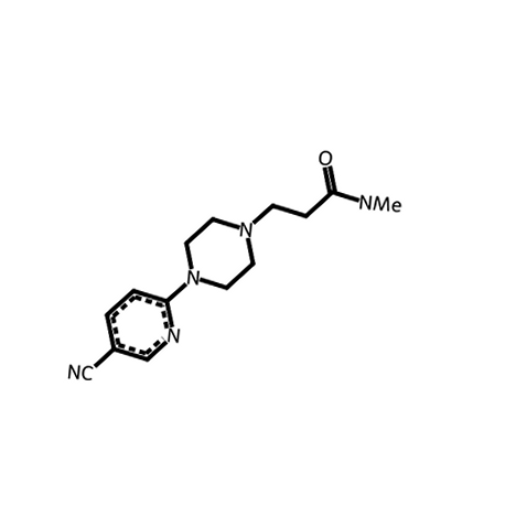 CNC(=O)CCN1CCN(c2ccc(C#N)cn2)CC1